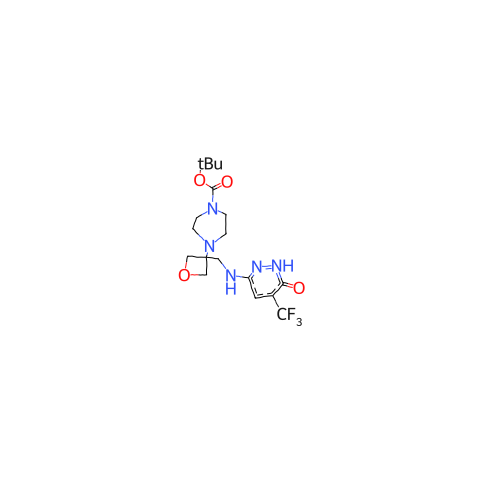 CC(C)(C)OC(=O)N1CCN(C2(CNc3cc(C(F)(F)F)c(=O)[nH]n3)COC2)CC1